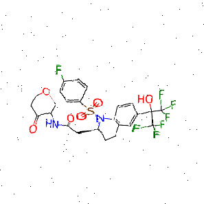 O=C(C[C@@H]1CCc2cc(C(O)(C(F)(F)F)C(F)(F)F)ccc2N1S(=O)(=O)c1ccc(F)cc1)NC1COCCC1=O